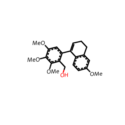 COc1ccc2c(c1)CCC=C2c1cc(OC)c(OC)c(OC)c1CO